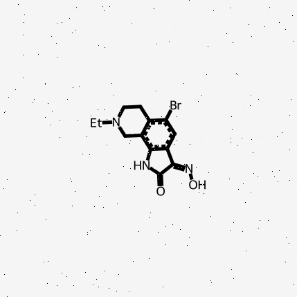 CCN1CCc2c(Br)cc3c(c2C1)NC(=O)C3=NO